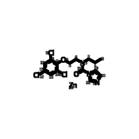 CCCN(CCOc1c(Cl)cc(Cl)cc1Cl)C(=O)n1ccnc1.[Zn]